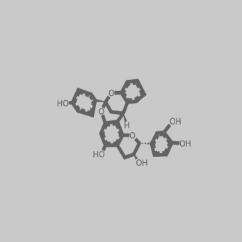 Oc1ccc([C@]23C[C@H](c4ccccc4O2)c2c(cc(O)c4c2O[C@H](c2ccc(O)c(O)c2)[C@@H](O)C4)O3)cc1